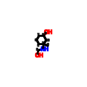 CC1(NCO)CCCC(O)C1